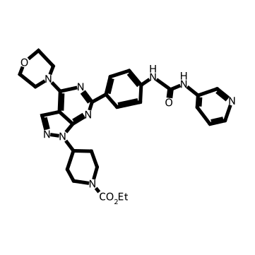 CCOC(=O)N1CCC(n2ncc3c(N4CCOCC4)nc(-c4ccc(NC(=O)Nc5cccnc5)cc4)nc32)CC1